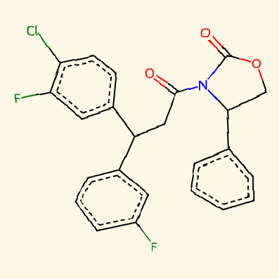 O=C(CC(c1cccc(F)c1)c1ccc(Cl)c(F)c1)N1C(=O)OCC1c1ccccc1